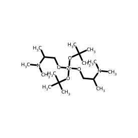 CC(C[O][Zr]([O]CC(C)N(C)C)([O]C(C)(C)C)[O]C(C)(C)C)N(C)C